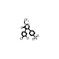 CS(=O)(=O)c1ccc(-c2cnn(CC(F)(F)F)c(=O)c2-c2ccc(Cl)c(Cl)c2)cc1